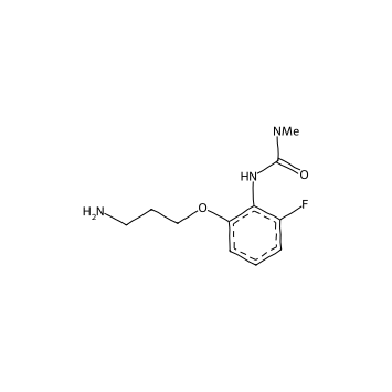 CNC(=O)Nc1c(F)cccc1OCCCN